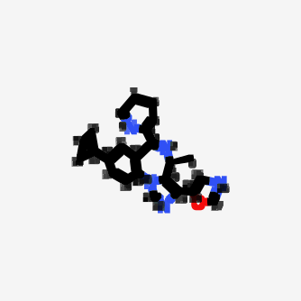 C[C@@H]1N=C(c2ccccn2)c2cc(C34CC3C4)ccc2-n2cnc(-c3cnco3)c21